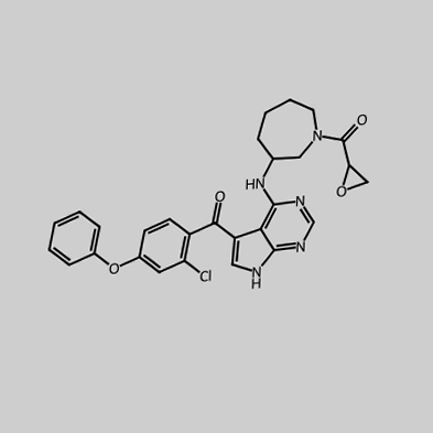 O=C(c1ccc(Oc2ccccc2)cc1Cl)c1c[nH]c2ncnc(NC3CCCCN(C(=O)C4CO4)C3)c12